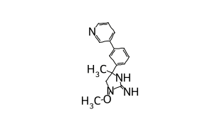 CON1CC(C)(c2cccc(-c3cccnc3)c2)NC1=N